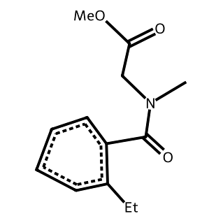 CCc1ccccc1C(=O)N(C)CC(=O)OC